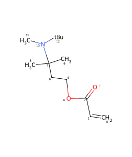 C=CC(=O)OCCC(C)(C)N(C)C(C)(C)C